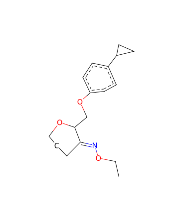 CCO/N=C1\CCCOC1COc1ccc(C2CC2)cc1